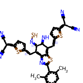 Cc1cccc(C)c1-c1nc2c(s1)=C(/C=c1\ccc(=C(C#N)C#N)s1)C(=N)/C(=N\S)C=2/C=c1\ccc(=C(C#N)C#N)s1